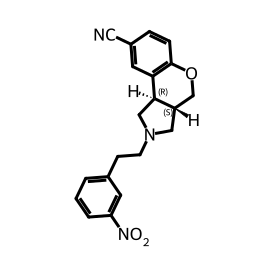 N#Cc1ccc2c(c1)[C@@H]1CN(CCc3cccc([N+](=O)[O-])c3)C[C@H]1CO2